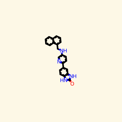 O=c1[nH]c2ccc(-c3ccc(NCc4cccc5ccccc45)cn3)cc2[nH]1